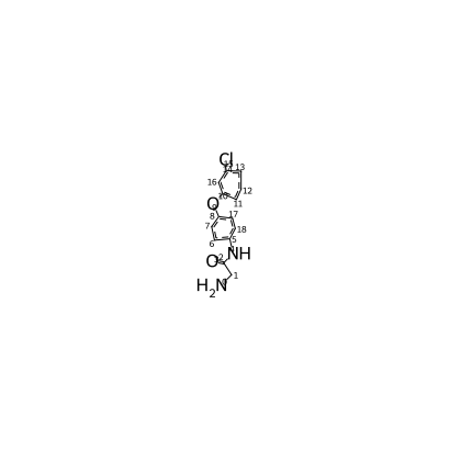 NCC(=O)Nc1ccc(Oc2cccc(Cl)c2)cc1